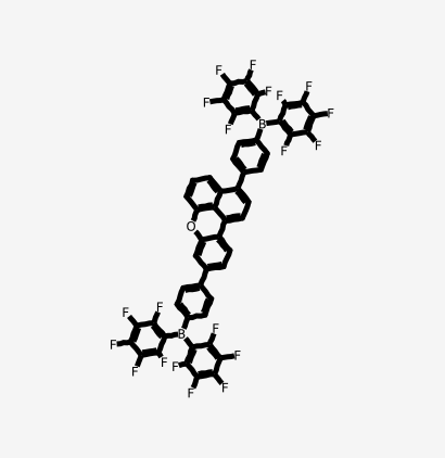 Fc1c(F)c(F)c(B(c2ccc(-c3ccc4c(c3)Oc3cccc5c(-c6ccc(B(c7c(F)c(F)c(F)c(F)c7F)c7c(F)c(F)c(F)c(F)c7F)cc6)ccc-4c35)cc2)c2c(F)c(F)c(F)c(F)c2F)c(F)c1F